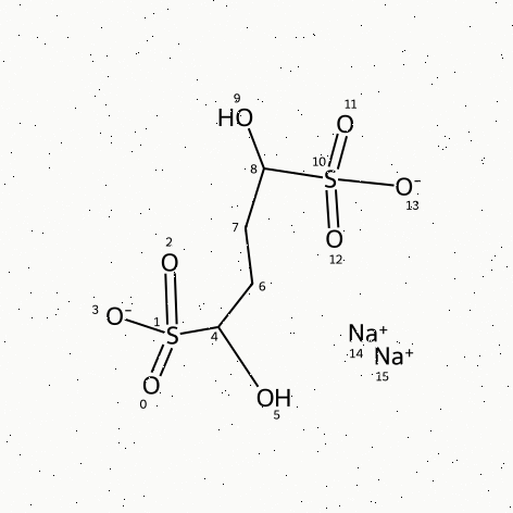 O=S(=O)([O-])C(O)CCC(O)S(=O)(=O)[O-].[Na+].[Na+]